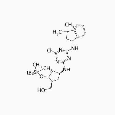 CC1(C)C[C@@H](Nc2nc(Cl)nc(N[C@H]3C[C@@H](CO)[C@H](O[Si](C)(C)C(C)(C)C)C3)n2)c2ccccc21